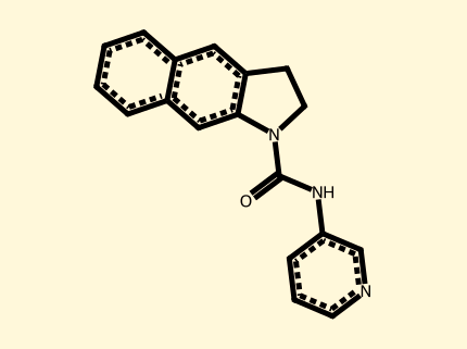 O=C(Nc1cccnc1)N1CCc2cc3ccccc3cc21